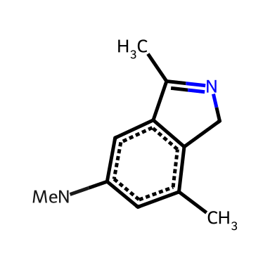 CNc1cc(C)c2c(c1)C(C)=NC2